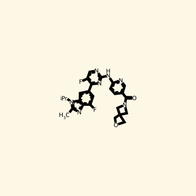 Cc1nc2c(F)cc(-c3nc(Nc4ccc(C(=O)N5CC6(COC6)C5)cn4)ncc3F)cc2n1C(C)C